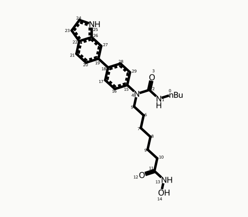 CCCCNC(=O)N(CCCCCCC(=O)NO)c1ccc(-c2ccc3cc[nH]c3c2)cc1